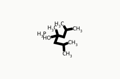 CC(C)CC(C)(O)CC(C)C.P